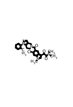 Cc1ccccc1-n1ncc2c1CCN(C(=O)c1cc3c(C(=O)C(=O)N(C)C)cn(C)c3cc1Cl)C2